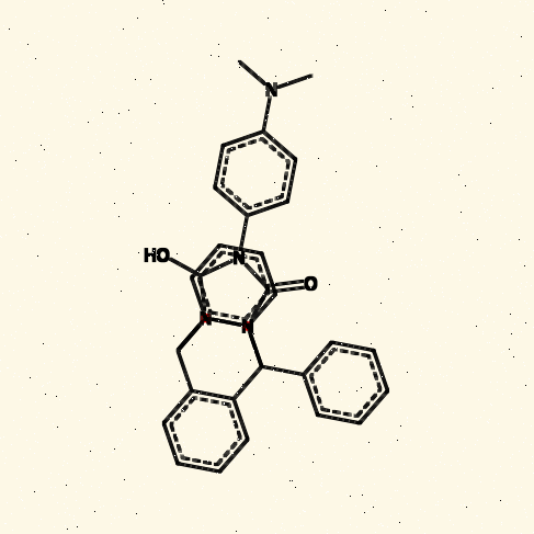 CN(C)c1ccc(N2C(=O)N3N(C4c5ccccc5C3(c3ccccc3)c3ccccc34)C2O)cc1